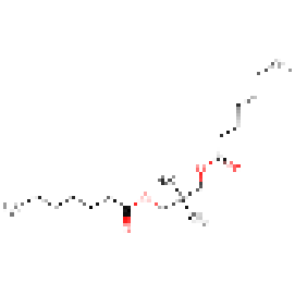 CCCCCCC(=O)OCC(C)(C)COC(=O)CCCCCC